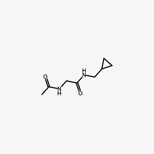 CC(=O)NCC(=O)NCC1CC1